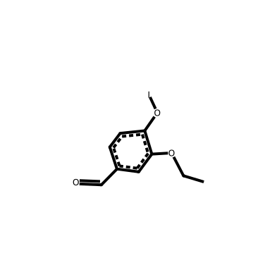 CCOc1cc(C=O)ccc1OI